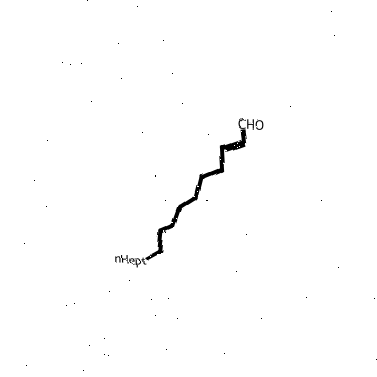 CCCCCCCCCCCCCC/C=C/C=O